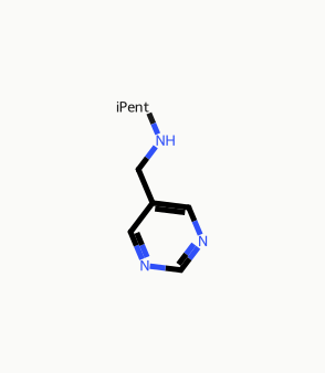 CCCC(C)NCc1cncnc1